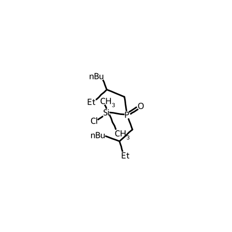 CCCCC(CC)CP(=O)(CC(CC)CCCC)[Si](C)(C)Cl